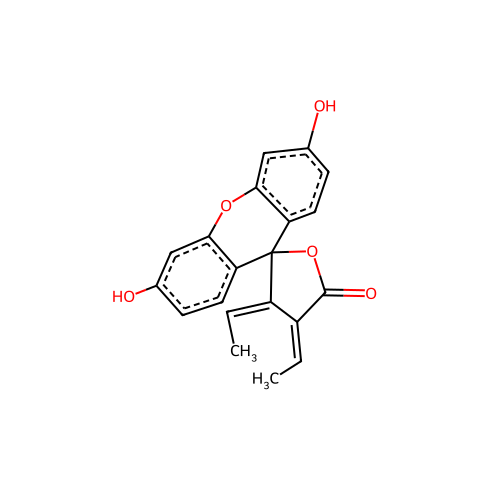 C/C=C1/C(=O)OC2(/C1=C/C)c1ccc(O)cc1Oc1cc(O)ccc12